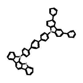 c1ccc(-c2ccc3c(c2)c2cc(-c4ccccc4)ccc2n3-c2ccc(-c3ccc(-c4ccc(-n5c6ccccc6c6ccc7c8ccccc8sc7c65)cc4)cc3)cc2)cc1